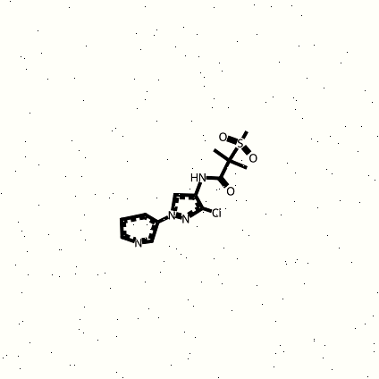 CC(C)(C(=O)Nc1cn(-c2cccnc2)nc1Cl)S(C)(=O)=O